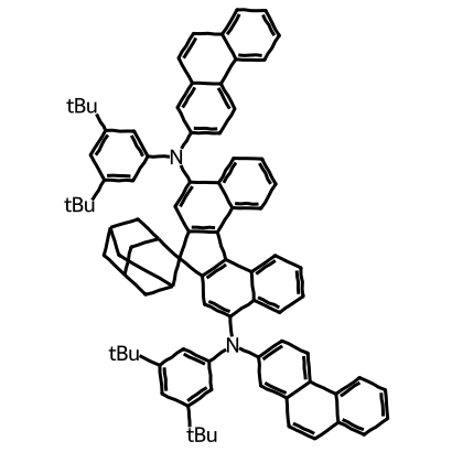 CC(C)(C)c1cc(N(c2ccc3c(ccc4ccccc43)c2)c2cc3c(c4ccccc24)-c2c(cc(N(c4cc(C(C)(C)C)cc(C(C)(C)C)c4)c4ccc5c(ccc6ccccc65)c4)c4ccccc24)C32C3CC4CC(C3)CC2C4)cc(C(C)(C)C)c1